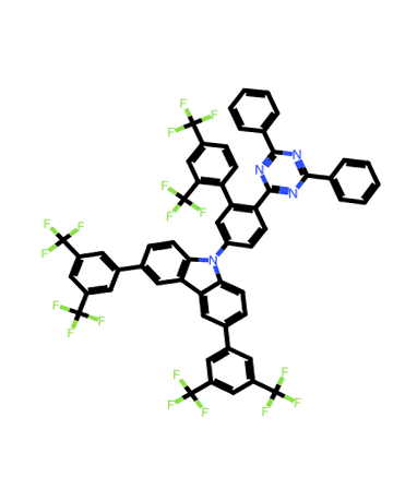 FC(F)(F)c1cc(-c2ccc3c(c2)c2cc(-c4cc(C(F)(F)F)cc(C(F)(F)F)c4)ccc2n3-c2ccc(-c3nc(-c4ccccc4)nc(-c4ccccc4)n3)c(-c3ccc(C(F)(F)F)cc3C(F)(F)F)c2)cc(C(F)(F)F)c1